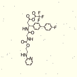 O=C(CNC(=O)OCCNc1ccccn1)NC(CC(=O)OC(=O)C(F)(F)F)c1ccc(-c2ccc(F)cc2)cc1